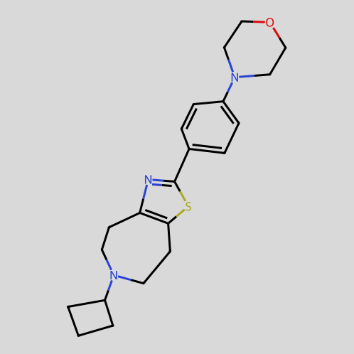 c1cc(N2CCOCC2)ccc1-c1nc2c(s1)CCN(C1CCC1)CC2